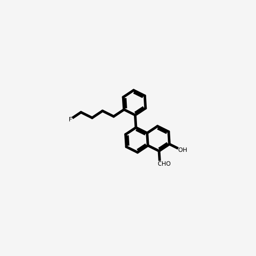 O=Cc1c(O)ccc2c(-c3ccccc3CCCCF)cccc12